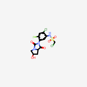 O=C1C2CC(O)CN2C(=O)N1c1cc(NS(=O)(=O)CCl)c(Cl)cc1F